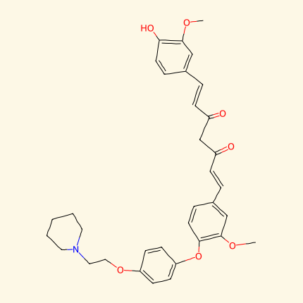 COc1cc(C=CC(=O)CC(=O)C=Cc2ccc(Oc3ccc(OCCN4CCCCC4)cc3)c(OC)c2)ccc1O